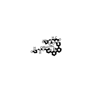 COc1nc(-c2cccc(-c3cccc(-c4ccn5c(=O)c(C)c(CN(C[C@H]6CCC(=O)N6)C(=O)OC(C)(C)C)nc5c4)c3Cl)c2Cl)ccc1COC(=O)NC[C@@H]1CCC(=O)N1